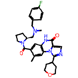 Cc1cc2c(cc1C(=O)N1CCC[C@H]1CN(C)Cc1ccc(F)cc1)[nH]c(=O)c1cnc(C3CCOCC3)n12